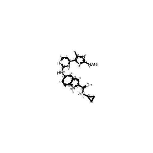 CNc1nc(C)c(-c2ccnc(Nc3ccc4[nH]c(C(=O)NC5CC5)cc4c3)n2)s1